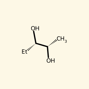 CC[C@H](O)[C@H](C)O